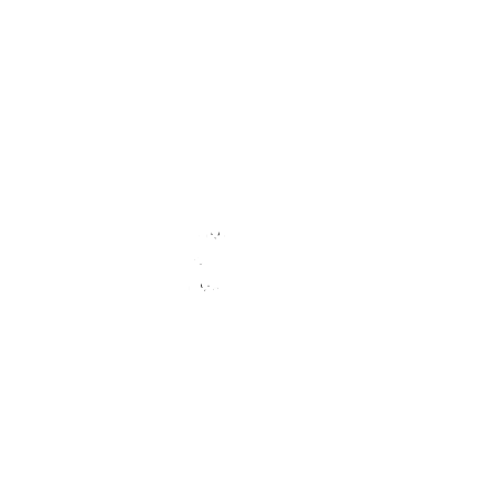 CO[Si](C)(CCCc1ccccc1)OC